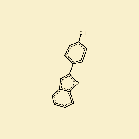 Oc1ccc(-c2cc3ccccc3o2)cc1